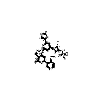 COc1ccncc1-c1cc2c(cnn2-c2cc(N3C[C@H](CS(C)(=O)=O)[C@H]3C)cc(-c3cncs3)n2)c(C)n1